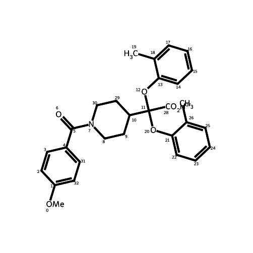 COc1ccc(C(=O)N2CCC(C(Oc3ccccc3C)(Oc3ccccc3C)C(=O)O)CC2)cc1